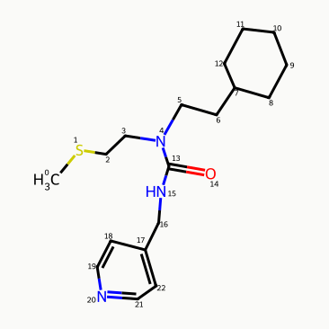 CSCCN(CCC1CCCCC1)C(=O)NCc1ccncc1